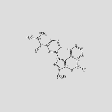 CCOC(=O)c1nn(-c2cccc([S+]([O-])N(C)C)c2)c2c1C[S+]([O-])c1ccccc1-2